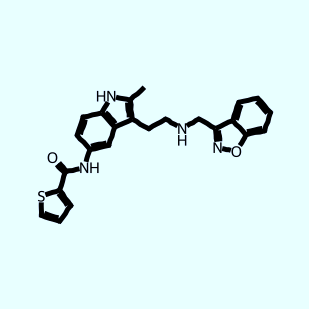 Cc1[nH]c2ccc(NC(=O)c3cccs3)cc2c1CCNCc1noc2ccccc12